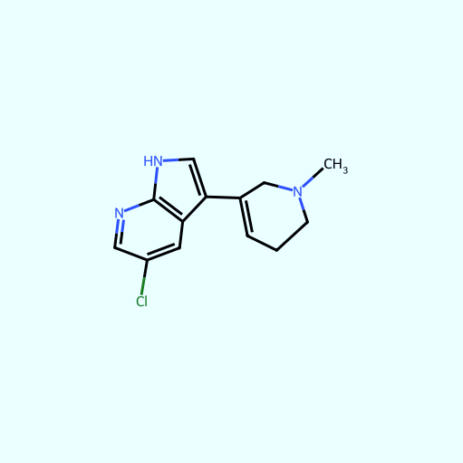 CN1CCC=C(c2c[nH]c3ncc(Cl)cc23)C1